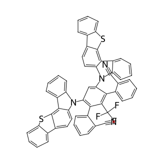 N#Cc1ccccc1-c1c(-n2c3ccccc3c3c4sc5ccccc5c4ccc32)cc(-n2c3ccccc3c3c4sc5ccccc5c4ccc32)c(-c2ccccc2C#N)c1C(F)(F)F